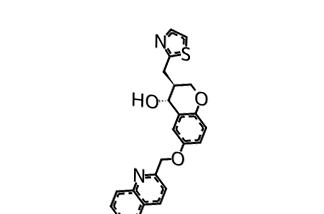 O[C@H]1c2cc(OCc3ccc4ccccc4n3)ccc2OC[C@@H]1Cc1nccs1